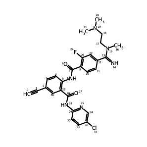 C#Cc1ccc(NC(=O)c2ccc(C(=N)N(C)CCN(C)C)cc2F)c(C(=O)Nc2ccc(Cl)cn2)c1